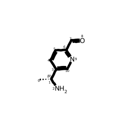 C[C@@H](N)c1ccc(C=O)nc1